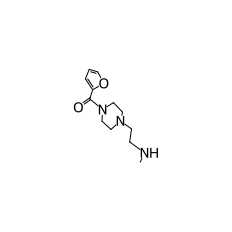 CNCCN1CCN(C(=O)c2ccco2)CC1